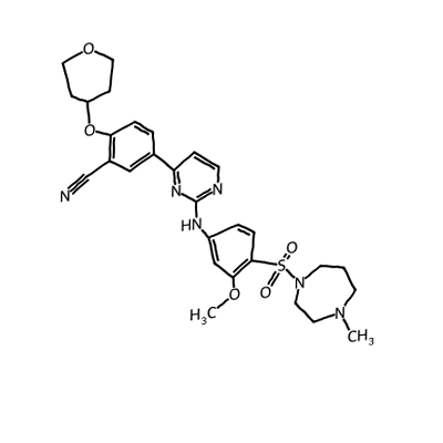 COc1cc(Nc2nccc(-c3ccc(OC4CCOCC4)c(C#N)c3)n2)ccc1S(=O)(=O)N1CCCN(C)CC1